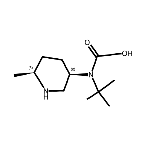 C[C@H]1CC[C@@H](N(C(=O)O)C(C)(C)C)CN1